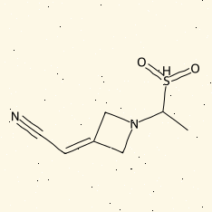 CC(N1CC(=CC#N)C1)[SH](=O)=O